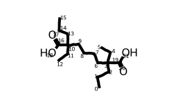 CCCC(CC)(CCCCC(CC)(CCC)C(=O)O)C(=O)O